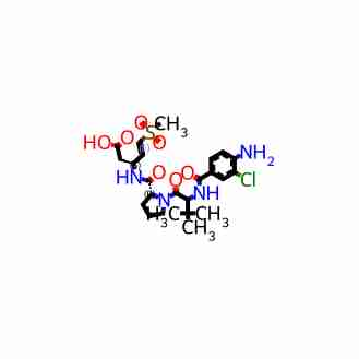 CC(C)(C)C(NC(=O)c1ccc(N)c(Cl)c1)C(=O)N1CCC[C@@H]1C(=O)N[C@H](/C=C/S(C)(=O)=O)CC(=O)O